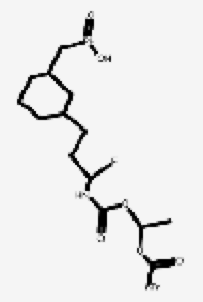 CCCC(=O)OC(C)OC(=O)NC(F)CCC1CCCC(C[PH](=O)O)C1